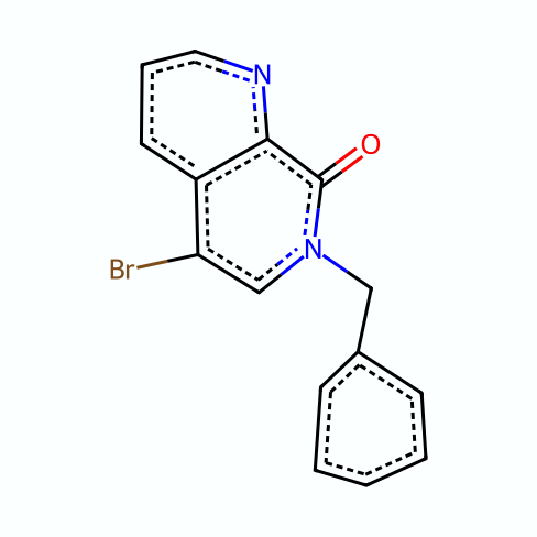 O=c1c2ncccc2c(Br)cn1Cc1ccccc1